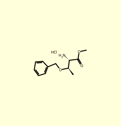 COC(=O)[C@@H](N)[C@@H](C)OCc1ccccc1.Cl